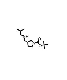 CC(C)CNC[C@@H]1CCN(C(=O)OC(C)(C)C)C1